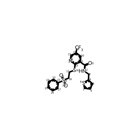 O=C(NCc1cccs1)c1cc(C(F)(F)F)cnc1SCCS(=O)(=O)c1ccccc1